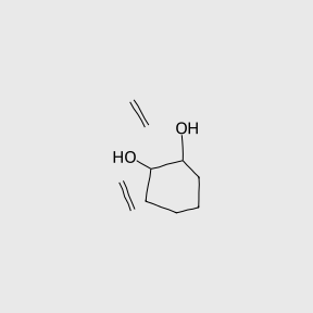 C=C.C=C.OC1CCCCC1O